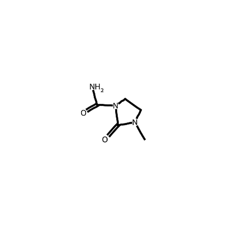 CN1CCN(C(N)=O)C1=O